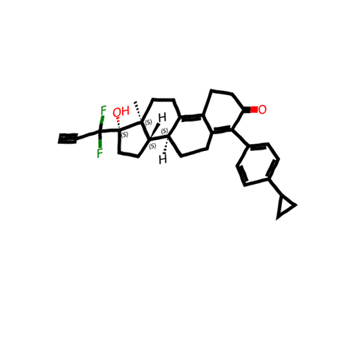 C#CC(F)(F)[C@]1(O)CC[C@H]2[C@@H]3CCC4=C(c5ccc(C6CC6)cc5)C(=O)CCC4=C3CC[C@@]21C